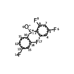 [O-][S+](c1ccc(F)cc1F)c1ccc(F)cc1F